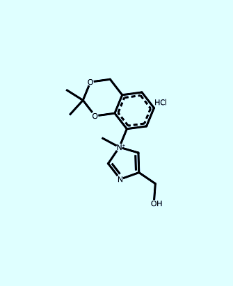 CC1(C)OCc2cccc([N+]3(C)C=NC(CO)=C3)c2O1.Cl